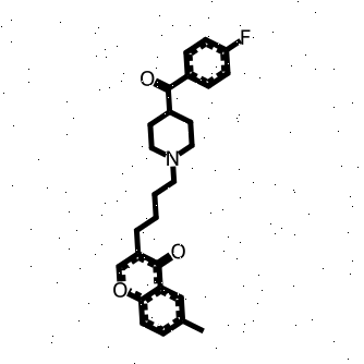 Cc1ccc2occ(CCCCN3CCC(C(=O)c4ccc(F)cc4)CC3)c(=O)c2c1